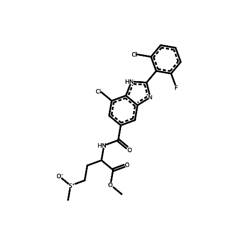 COC(=O)C(CC[S+](C)[O-])NC(=O)c1cc(Cl)c2[nH]c(-c3c(F)cccc3Cl)nc2c1